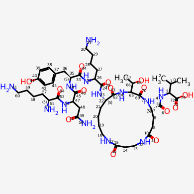 CC(C)C(NC(=O)[C@@H]1CCC(=O)NCCC(=O)NCCCC[C@H](NC(=O)C(CCCCN)NC(=O)[C@H](Cc2ccc(O)cc2)NC(=O)C(CC(N)=O)NC(=O)[C@@H](N)CCCCN)C(=O)NC(C(C)O)C(=O)N1)C(=O)O